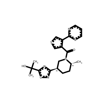 C[C@@H]1CC[C@@H](c2noc(C(C)(C)O)n2)CN1C(=O)c1cscc1-c1ncccn1